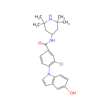 CC1(C)CC(NC(=O)c2ccc(-n3ccc4cc(O)ccc43)c(Cl)c2)CC(C)(C)N1